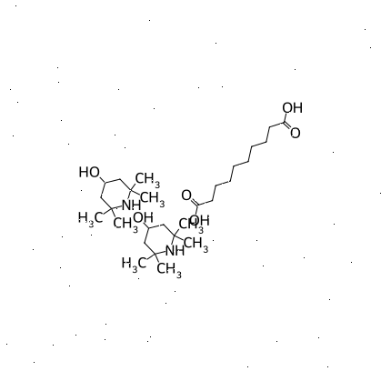 CC1(C)CC(O)CC(C)(C)N1.CC1(C)CC(O)CC(C)(C)N1.O=C(O)CCCCCCCCC(=O)O